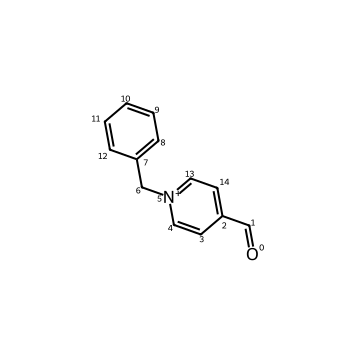 O=Cc1cc[n+](Cc2ccccc2)cc1